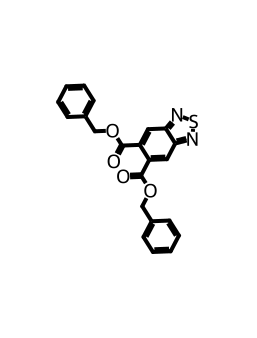 O=C(OCc1ccccc1)c1cc2nsnc2cc1C(=O)OCc1ccccc1